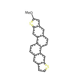 COc1cc2cc3ccc4c5cc6sccc6cc5ccc4c3cc2s1